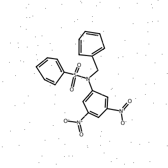 O=[N+]([O-])c1cc(N(Cc2ccccc2)S(=O)(=O)c2ccccc2)cc([N+](=O)[O-])c1